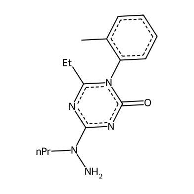 CCCN(N)c1nc(CC)n(-c2ccccc2C)c(=O)n1